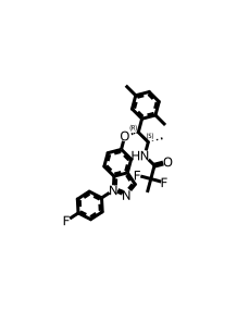 Cc1ccc(C)c([C@@H](Oc2ccc3c(cnn3-c3ccc(F)cc3)c2)[C@H](C)NC(=O)C(C)(F)F)c1